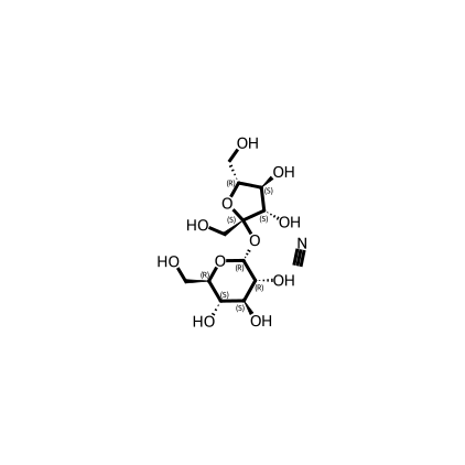 C#N.OC[C@H]1O[C@@](CO)(O[C@H]2O[C@H](CO)[C@@H](O)[C@H](O)[C@H]2O)[C@@H](O)[C@@H]1O